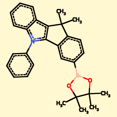 CC1(C)c2ccc(B3OC(C)(C)C(C)(C)O3)cc2-c2c1c1ccccc1n2-c1ccccc1